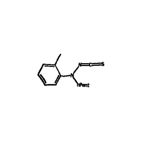 CCCCCN(N=C=S)c1ccccc1C